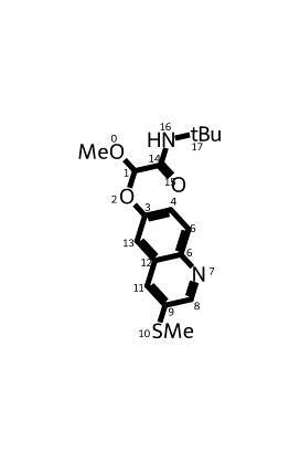 COC(Oc1ccc2ncc(SC)cc2c1)C(=O)NC(C)(C)C